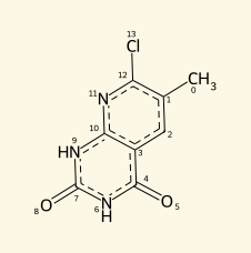 Cc1cc2c(=O)[nH]c(=O)[nH]c2nc1Cl